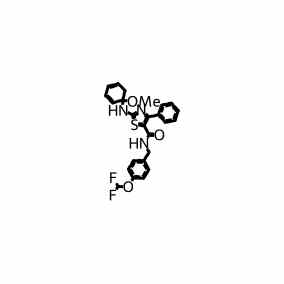 COC1(Nc2nc(-c3ccccc3)c(C(=O)NCc3ccc(OC(F)F)cc3)s2)C=CC=CC1